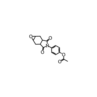 CC(=O)Oc1ccc(N2C(=O)C3CC4OC4CC3C2=O)cc1